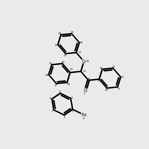 CC(=O)c1ccccc1.O=C(c1ccccc1)C(Oc1ccccc1)c1ccccc1